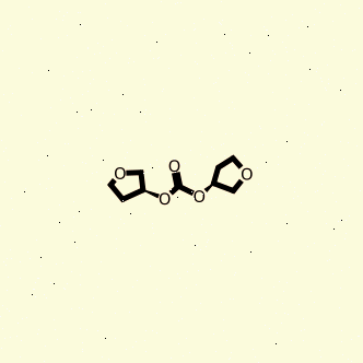 O=C(O[C@H]1CCOC1)O[C@H]1CCOC1